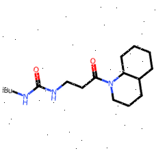 CCC(C)NC(=O)NCCC(=O)N1CCCC2CCCCC21